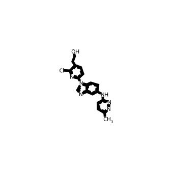 Cc1ccc(Nc2ccc3c(c2)ncn3-c2ccc(CCO)c(Cl)n2)nn1